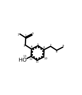 C=C(C)Cc1cc(CCC)ccc1O